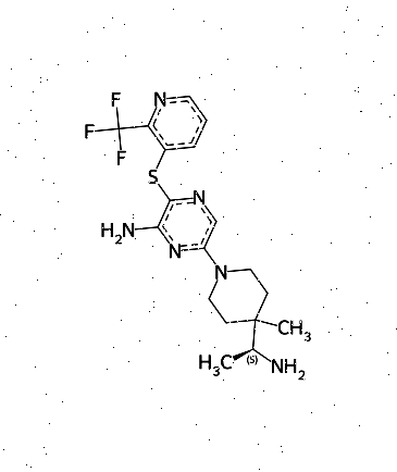 C[C@H](N)C1(C)CCN(c2cnc(Sc3cccnc3C(F)(F)F)c(N)n2)CC1